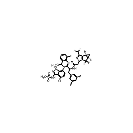 Cn1nc(NS(C)(=O)=O)c2c(Cl)ccc(-n3c(C(Cc4cc(F)cc(F)c4)NC(=O)Cn4nc(C(F)F)c5c4C(F)(F)[C@@H]4C[C@H]54)nc4c(F)cccc4c3=O)c21